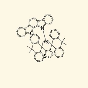 CC1(C)c2ccccc2C2(c3ccccc31)c1cc(-n3c4ccccc4c4ccc5c6ccccc6oc5c43)sc1C1(c3ccccc3C(C)(C)c3ccccc31)c1ccsc12